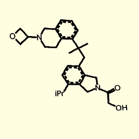 CC(C)c1ccc(CC(C)(C)c2cccc3c2CCN(C2COC2)C3)c2c1CN(C(=O)CO)C2